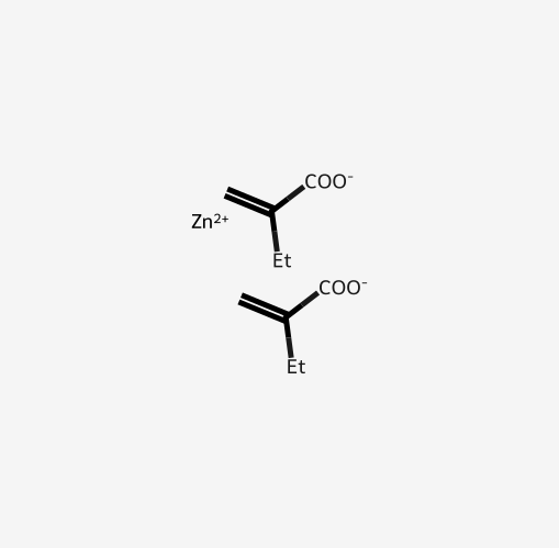 C=C(CC)C(=O)[O-].C=C(CC)C(=O)[O-].[Zn+2]